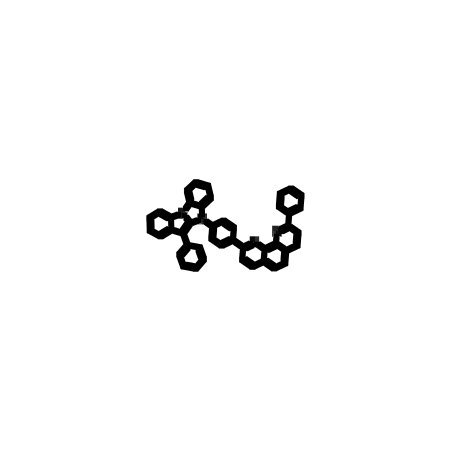 c1ccc(-c2ccc3ccc4ccc(-c5ccc(-n6c7ccccc7n7c8ccccc8c(-c8ccccc8)c67)cc5)nc4c3n2)cc1